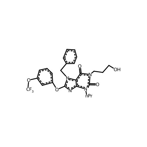 CCCn1c(=O)n(CCCO)c(=O)c2c1nc(Oc1cccc(OC(F)(F)F)c1)n2Cc1ccccc1